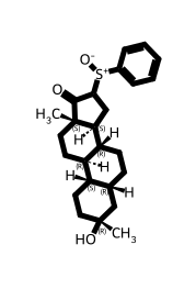 C[C@@]1(O)CC[C@H]2[C@H](CC[C@@H]3[C@@H]2CC[C@]2(C)C(=O)C([S+]([O-])c4ccccc4)C[C@@H]32)C1